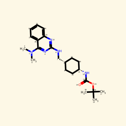 CN(C)c1nc(NC[C@H]2CC[C@@H](NC(=O)OC(C)(C)C)CC2)nc2ccccc12